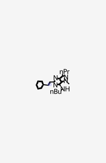 CCCCNc1nc(/C=C/c2ccccc2)nc2c(CCC)nn(C)c12